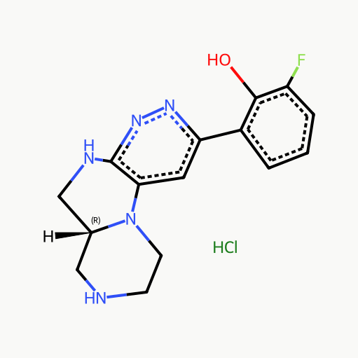 Cl.Oc1c(F)cccc1-c1cc2c(nn1)NC[C@H]1CNCCN21